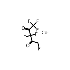 O=C(CF)C(F)(F)C(=O)C(F)(F)F.[Co]